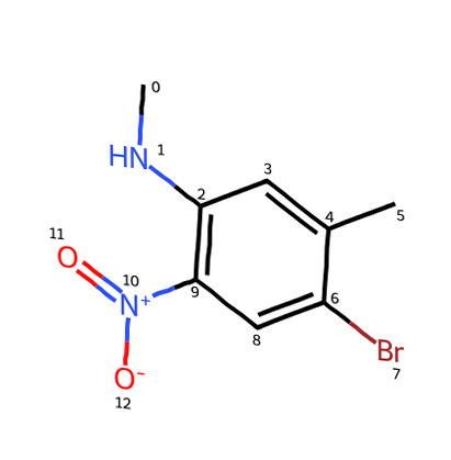 CNc1cc(C)c(Br)cc1[N+](=O)[O-]